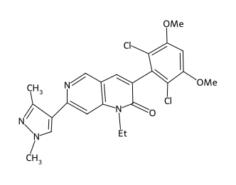 CCn1c(=O)c(-c2c(Cl)c(OC)cc(OC)c2Cl)cc2cnc(-c3cn(C)nc3C)cc21